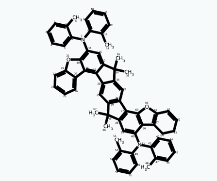 Cc1ccccc1N(c1ccccc1C)c1cc2c(c3c1oc1ccccc13)-c1cc3c(cc1C2(C)C)-c1c(cc(N(c2ccccc2C)c2ccccc2C)c2c4c(oc12)C=CCC4)C3(C)C